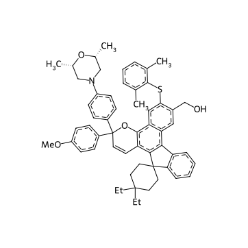 CCC1(CC)CCC2(CC1)c1ccccc1-c1c2c2c(c3cc(Sc4c(C)cccc4C)c(CO)cc13)OC(c1ccc(OC)cc1)(c1ccc(N3C[C@@H](C)O[C@@H](C)C3)cc1)C=C2